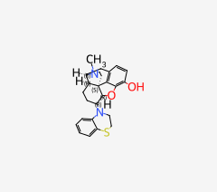 CN1CC[C@]23c4c5ccc(O)c4O[C@H]2[C@H](N2CCSc4ccccc42)CC[C@H]3[C@H]1C5